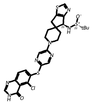 CC(C)(C)[S@@+]([O-])N[C@@H]1c2ncsc2CC12CCN(c1cnc(Sc3ccc4nc[nH]c(=O)c4c3Cl)cn1)CC2